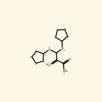 C=C(C(=O)O)C(OC1CCCC1)OC1CCCC1